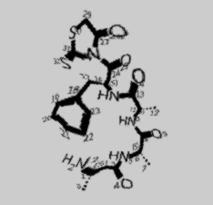 C[C@H](N)C(=O)N[C@@H](C)C(=O)N[C@@H](C)C(=O)N[C@@H](Cc1ccccc1)C(=O)N1C(=O)CSC1=S